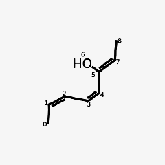 C\C=C/C=C\C(O)=C\C